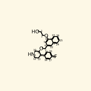 OCCOc1cc(COC2CNCCC2c2ccc(F)cc2)cc2ccccc12